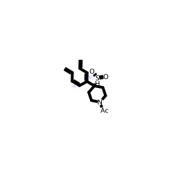 C=C/C=C\C(=C/C=C)C1([SH](=O)=O)CCN(C(C)=O)CC1